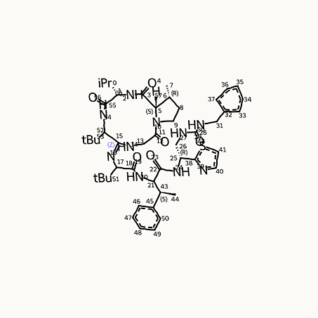 CC(C)[C@@H]1NC(=O)[C@@H]2[C@H](C)CCN2C(=O)CN/C(=N\C(C(=O)NC(C(=O)N[C@H](CNC(=O)NCc2ccccc2)c2nccs2)[C@@H](C)c2ccccc2)C(C)(C)C)C(C(C)(C)C)NC1=O